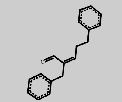 O=CC(=CCCc1ccccc1)Cc1ccccc1